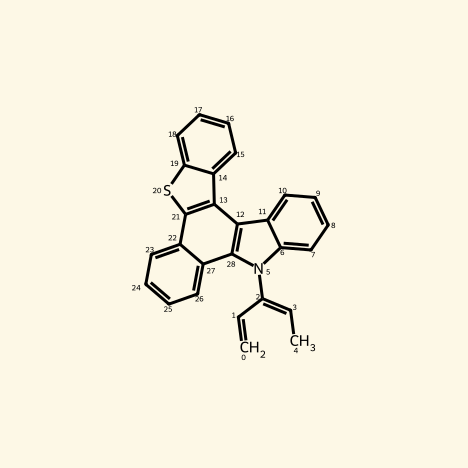 C=C/C(=C\C)n1c2ccccc2c2c3c4ccccc4sc3c3ccccc3c21